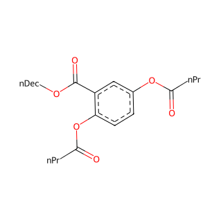 CCCCCCCCCCOC(=O)c1cc(OC(=O)CCC)ccc1OC(=O)CCC